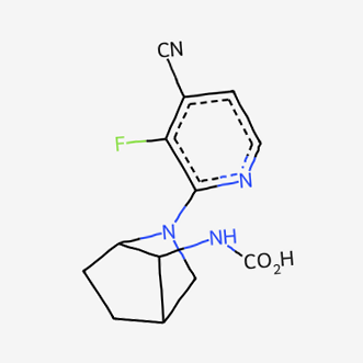 N#Cc1ccnc(N2CC3CCC2C3NC(=O)O)c1F